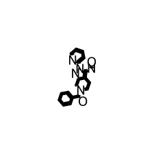 O=Nc1c2c(nn1-c1ccccn1)CN(C(=O)C1=CCCC=C1)CC2